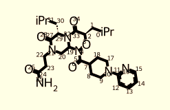 CC(C)C[C@H]1ON(C(=O)C2CCN(c3ccccn3)CC2)C2CN(CCC(N)=O)C(=O)[C@H](CC(C)C)N2C1=O